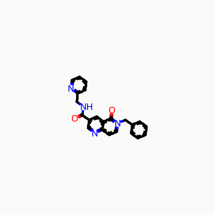 O=C(NCc1ccccn1)c1cnc2ccn(Cc3ccccc3)c(=O)c2c1